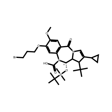 COc1cc2c(cc1OCCCBr)N(C(=O)O)[C@@H](O[Si](C)(C)C(C)(C)C)C1C(C(C)(C)C)C(C3CC3)=CN1C2=O